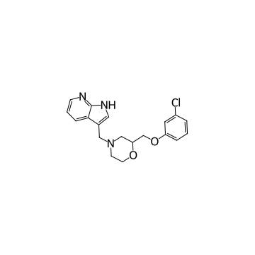 Clc1cccc(OCC2CN(Cc3c[nH]c4ncccc34)CCO2)c1